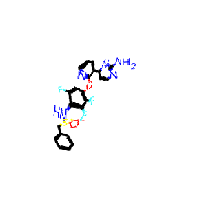 Nc1nccc(-c2cccnc2Oc2cc(F)c(N[S+]([O-])Cc3ccccc3)c(F)c2F)n1